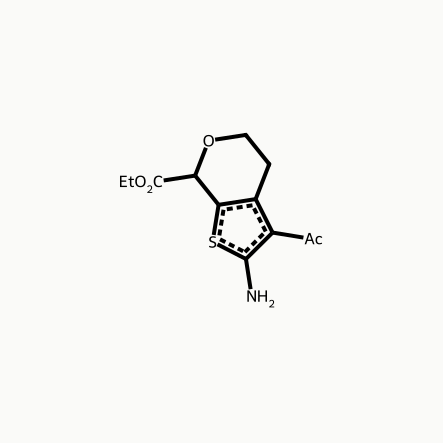 CCOC(=O)C1OCCc2c1sc(N)c2C(C)=O